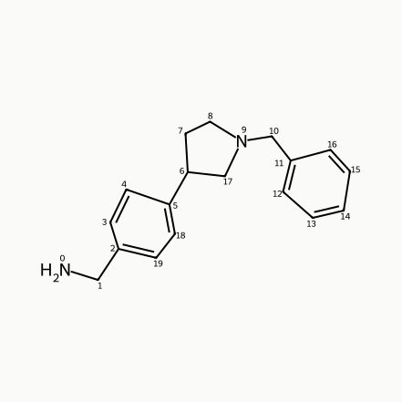 NCc1ccc(C2CCN(Cc3ccccc3)C2)cc1